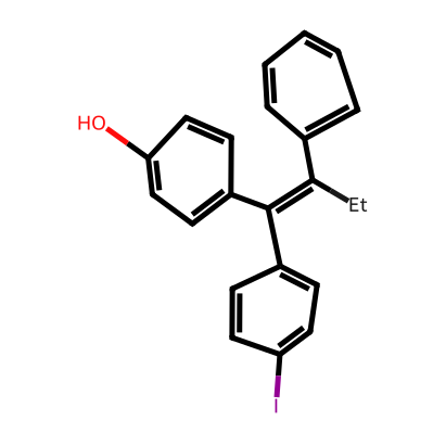 CC/C(=C(/c1ccc(O)cc1)c1ccc(I)cc1)c1ccccc1